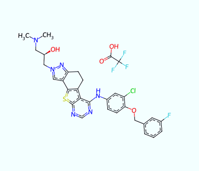 CN(C)C[C@@H](O)Cn1cc2c(n1)CCc1c-2sc2ncnc(Nc3ccc(OCc4cccc(F)c4)c(Cl)c3)c12.O=C(O)C(F)(F)F